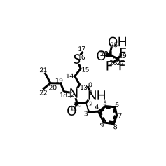 CN[C@@H](Cc1ccccc1)C(=O)N(CCCSC)CCC(C)C.O=C(O)C(F)(F)F